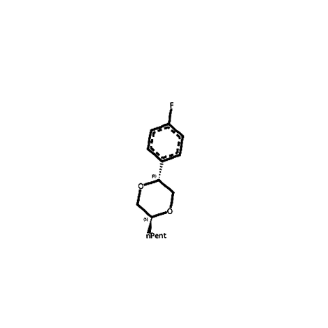 CCCCC[C@H]1CO[C@H](c2ccc(F)cc2)CO1